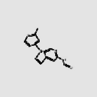 Cc1cc(-n2ncc3cc(NC=O)ncc32)ccn1